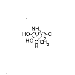 C[C@@](O)(c1ccc(Cl)s1)[C@H]1O[C@@H](N)[C@H](O)[C@@H]1O